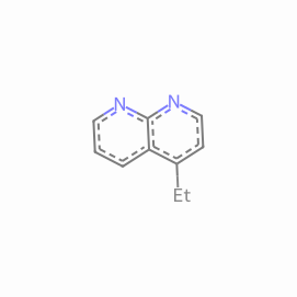 CCc1ccnc2ncccc12